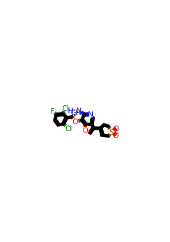 C[C@@H](Oc1c(N)ncc2c(C3=CCS(=O)(=O)CC3)coc12)c1c(Cl)ccc(F)c1Cl